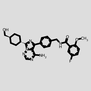 COc1ccc(F)cc1C(=O)NCc1ccc(-c2nc([C@H]3CC[C@H](CO)CC3)n3ncnc(N)c23)cc1